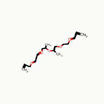 C=CCOCCOCC(C)OC(C)COCCOCC=C